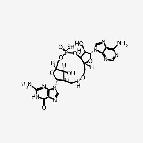 Nc1nc2c(ncn2[C@@H]2O[C@@H]3COP(=O)(S)O[C@H]4[C@@H](O)[C@H](n5cnc6c(N)ncnc65)O[C@@H]4COPC[C@@H]2[C@@H]3O)c(=O)[nH]1